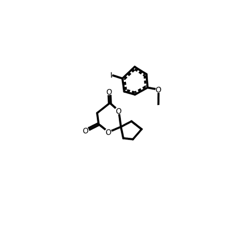 COc1ccc(I)cc1.O=C1CC(=O)OC2(CCCC2)O1